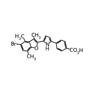 Cc1cc(Br)c(C)c2c(C)c(-c3ccc(-c4ccc(C(=O)O)cc4)[nH]3)oc12